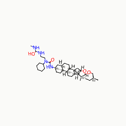 CNC(O)NCCN(C(=O)N[C@@H]1CC[C@@]2(C)[C@H](CC[C@@H]3[C@@H]2CC[C@]2(C)[C@@H]4[C@H](C[C@@H]32)O[C@]2(CC[C@H](C)CO2)[C@H]4C)C1)C1CCCCC1